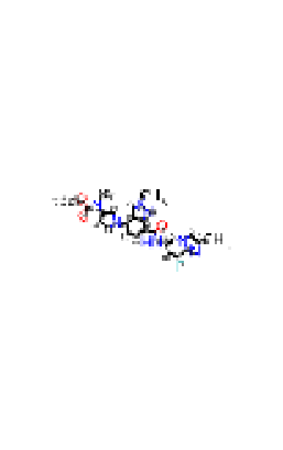 Cc1cn2cc(NC(=O)c3ccc(N4CC[C@@H](N(C(=O)OC(C)(C)C)C(C)C)C4)c4cn(C)nc34)cc(F)c2n1